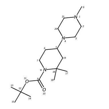 CN1CCN(C2CCN(C(=O)OC(C)(C)C)C(C)(C)C2)CC1